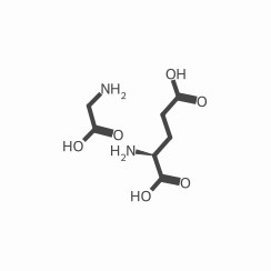 NCC(=O)O.N[C@@H](CCC(=O)O)C(=O)O